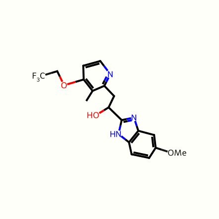 COc1ccc2[nH]c(C(O)Cc3nccc(OCC(F)(F)F)c3C)nc2c1